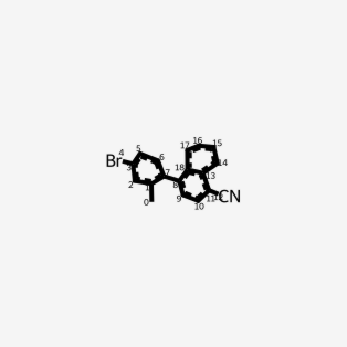 Cc1cc(Br)ccc1-c1ccc(C#N)c2ccccc12